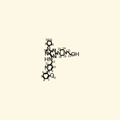 COc1ccccc1-c1ccc(CNc2nc(N3CCN(CCO)CC3)nc3c2ncn3C2CCCC2)cn1